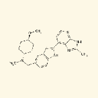 CO[C@H]1CC[C@H](N(C)Cc2ccc3[nH]c(-c4ccnc5[nH]c(C)nc45)cc3c2)CC1